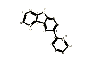 c1ccc(-c2ccc3oc4cccnc4c3c2)nc1